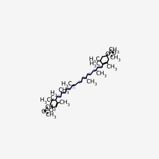 CC1=CC(OP(C)(C)=O)CC(C)(C)C1/C=C/C(C)=C/C=C/C(C)=C/C=C/C=C(C)/C=C/C=C(C)/C=C/C1=C(C)CC(OP(C)(C)=O)CC1(C)C